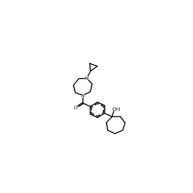 O=C(c1ccc(C2(O)CCCCCC2)cc1)N1CCCN(C2CC2)CC1